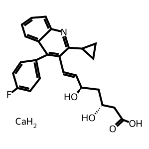 O=C(O)C[C@H](O)C[C@@H](O)C=Cc1c(C2CC2)nc2ccccc2c1-c1ccc(F)cc1.[CaH2]